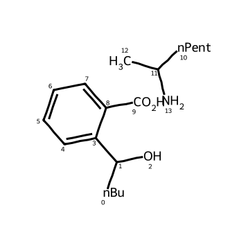 CCCCC(O)c1ccccc1C(=O)O.CCCCCC(C)N